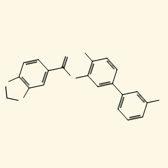 O=C(Nc1cc(-c2cccc(Cl)c2)ccc1C(=O)O)c1ccc2c(c1)OCO2